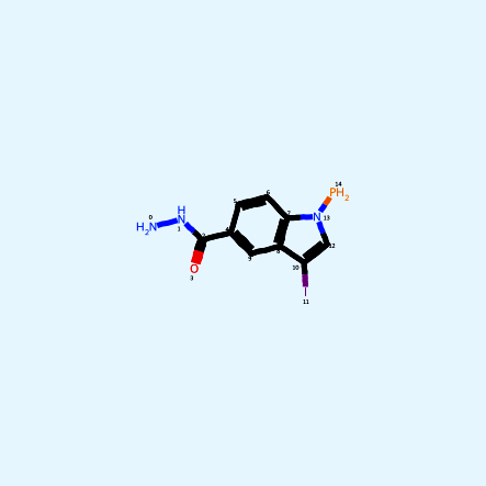 NNC(=O)c1ccc2c(c1)c(I)cn2P